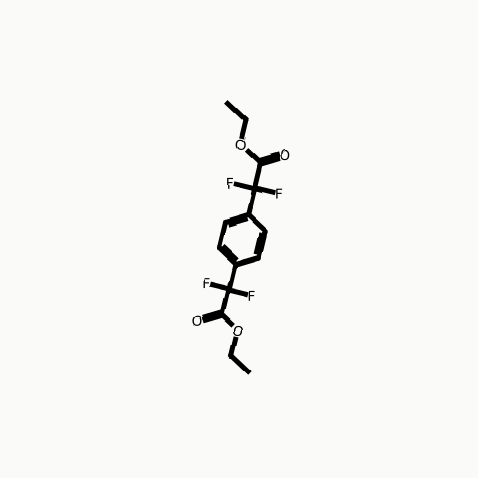 CCOC(=O)C(F)(F)c1ccc(C(F)(F)C(=O)OCC)cc1